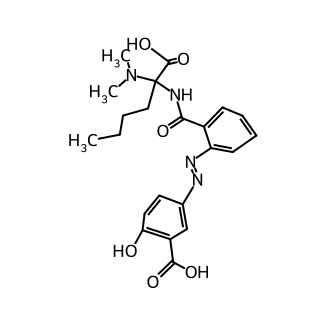 CCCCC(NC(=O)c1ccccc1N=Nc1ccc(O)c(C(=O)O)c1)(C(=O)O)N(C)C